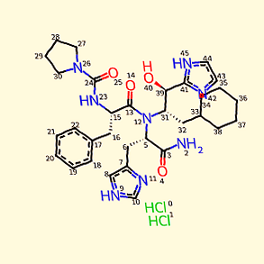 Cl.Cl.NC(=O)[C@H](Cc1c[nH]cn1)N(C(=O)[C@H](Cc1ccccc1)NC(=O)N1CCCC1)[C@@H](CC1CCCCC1)[C@@H](O)c1ncc[nH]1